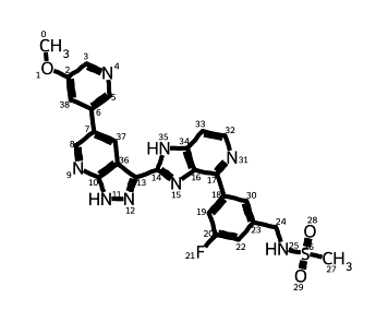 COc1cncc(-c2cnc3[nH]nc(-c4nc5c(-c6cc(F)cc(CNS(C)(=O)=O)c6)nccc5[nH]4)c3c2)c1